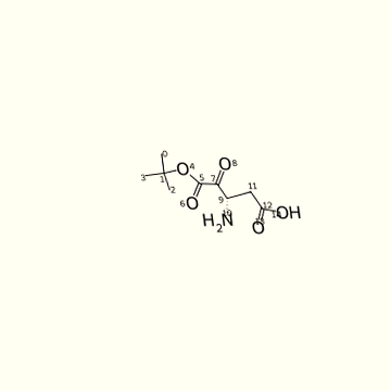 CC(C)(C)OC(=O)C(=O)[C@@H](N)CC(=O)O